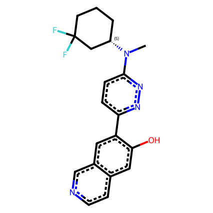 CN(c1ccc(-c2cc3cnccc3cc2O)nn1)[C@H]1CCCC(F)(F)C1